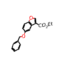 CCOC(=O)c1coc2ccc(OCc3ccccc3)cc12